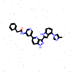 Cc1cn(-c2cccc3[nH]c(-c4n[nH]c5ccc(-c6cncc(NC(=O)Cc7ccccc7)c6)nc45)cc23)cn1